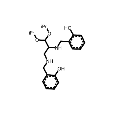 CC(C)OC(OC(C)C)C(CNCc1ccccc1O)NCc1ccccc1O